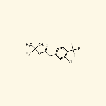 CC(C)(C)OC(=O)Cc1ccc(C(F)(F)F)c(Cl)n1